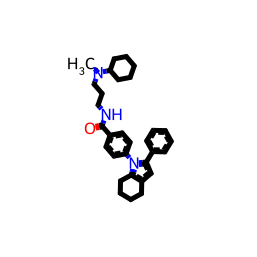 CN(CCCNC(=O)c1ccc(-n2c(-c3ccccc3)cc3c2CCCC3)cc1)C1CCCCC1